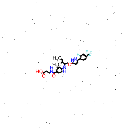 CCC(C)C(COc1ccc(-c2ccc(C(F)(F)F)cc2F)nn1)Nc1ccc(C(=O)NCCC(=O)O)cc1